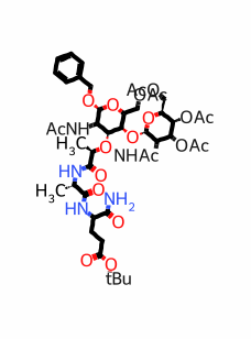 CC(=O)NC1C(OC(C)=O)[C@H](OC(C)=O)[C@H](COC(C)=O)O[C@H]1O[C@@H]1C(COC(C)=O)O[C@H](OCc2ccccc2)C(NC(C)=O)[C@H]1O[C@H](C)C(=O)N[C@@H](C)C(=O)NC(CCC(=O)OC(C)(C)C)C(N)=O